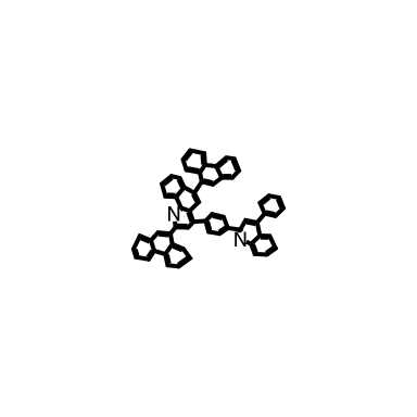 c1ccc(-c2cc(-c3ccc(-c4cc(-c5cc6ccccc6c6ccccc56)nc5c4cc(-c4cc6ccccc6c6ccccc46)c4ccccc45)cc3)nc3ccccc23)cc1